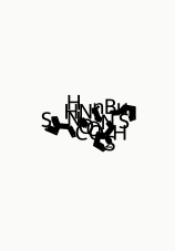 CCCC[C@H](NC(=O)NC(CC(=O)O)c1ccsc1)C(=O)N(Cc1cccs1)Cc1cccs1